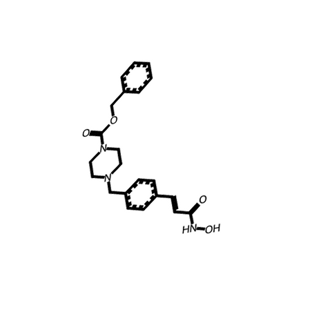 O=C(C=Cc1ccc(CN2CCN(C(=O)OCc3ccccc3)CC2)cc1)NO